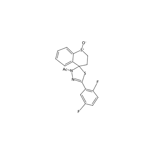 CC(=O)N1N=C(c2cc(F)ccc2F)SC12CC[S+]([O-])c1ccccc12